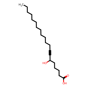 CCCCCCCCCCCCC#CC(O)CCCCC(=O)O